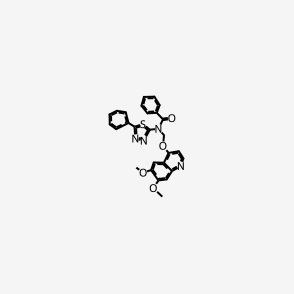 COc1cc2nccc(OCN(C(=O)c3ccccc3)c3nnc(-c4ccccc4)s3)c2cc1OC